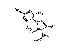 CCc1nn(-c2c(C)cc(Br)cc2C)c(CC)c1C(=O)OC